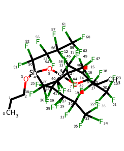 CCC[O][Sn]([O][Sn]([O]CCC)([C](F)(F)C(F)(F)C(F)(F)C(F)(F)F)[C](F)(F)C(F)(F)C(F)(F)C(F)(F)F)([C](F)(F)C(F)(F)C(F)(F)C(F)(F)F)[C](F)(F)C(F)(F)C(F)(F)C(F)(F)F